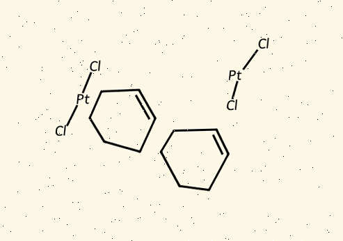 C1=CCCCC1.C1=CCCCC1.[Cl][Pt][Cl].[Cl][Pt][Cl]